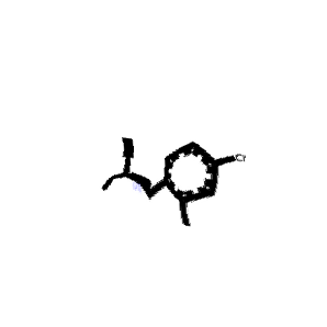 C#C/C(C)=C\c1ccc(Cl)cc1C